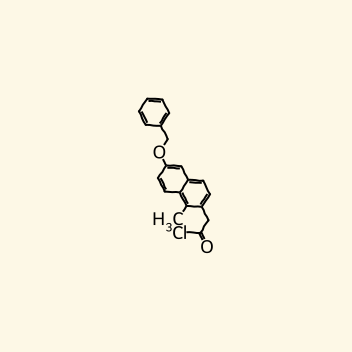 Cc1c(CC(=O)Cl)ccc2cc(OCc3ccccc3)ccc12